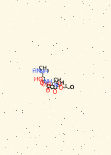 CCCc1c2oc(C(=O)NC(CCCCNC(C)=N)C(=O)O)cc(=O)c2cc2c(=O)cc(C(=O)OCCCCc3ccccc3)n(CC)c12